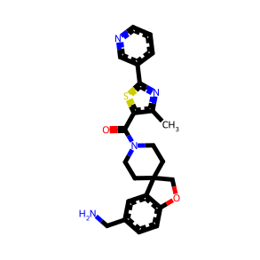 Cc1nc(-c2cccnc2)sc1C(=O)N1CCC2(CC1)COc1ccc(CN)cc12